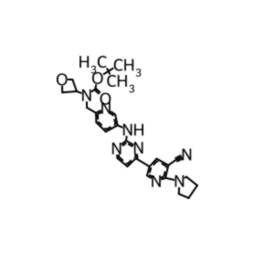 CC(C)(C)OC(=O)N(Cc1ccc(Nc2nccc(-c3cnc(N4CCCC4)c(C#N)c3)n2)cn1)C1COC1